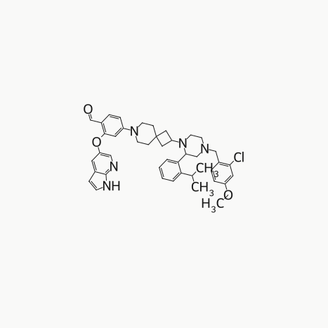 COc1ccc(CN2CCN(C3CC4(CCN(c5ccc(C=O)c(Oc6cnc7[nH]ccc7c6)c5)CC4)C3)C(c3ccccc3C(C)C)C2)c(Cl)c1